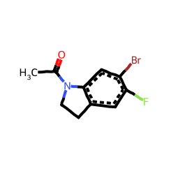 CC(=O)N1CCc2cc(F)c(Br)cc21